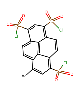 CC(=O)c1cc(S(=O)(=O)Cl)c2ccc3c(S(=O)(=O)Cl)cc(S(=O)(=O)Cl)c4ccc1c2c43